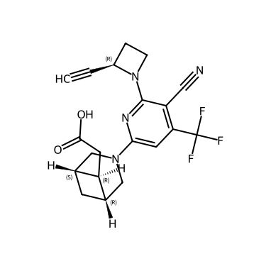 C#C[C@H]1CCN1c1nc(N2C[C@H]3C[C@@H](C2)[C@@H]3CC(=O)O)cc(C(F)(F)F)c1C#N